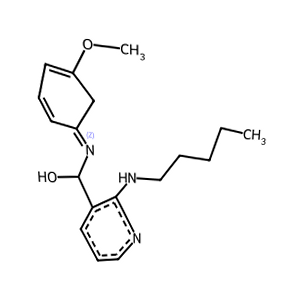 CCCCCNc1ncccc1C(O)/N=C1\C=CC=C(OC)C1